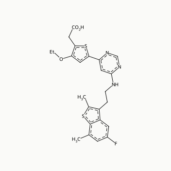 CCOc1cc(-c2cc(NCCc3c(C)sc4c(C)cc(F)cc34)ncn2)sc1CC(=O)O